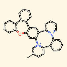 Cc1ccc2c3ccccc3[n+]3ccccc3c3cc4c(cc3[n+]2c1)oc1ccccc1c1ccccc41